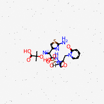 CC(C)(O/N=C(\C(=O)N[C@H]1C2OC1(Cn1ccccc1=O)N2S(=O)(=O)O)c1csc(N)n1)C(=O)O